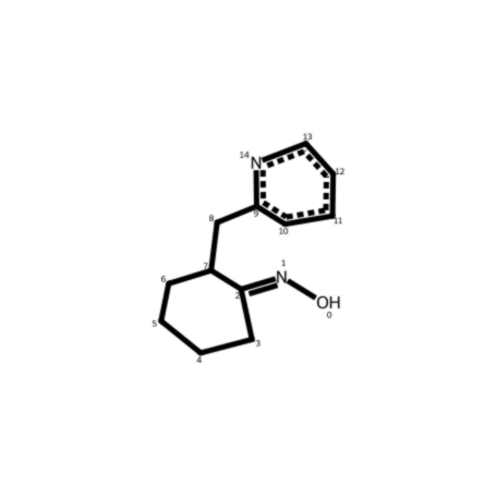 ON=C1CCCCC1Cc1ccccn1